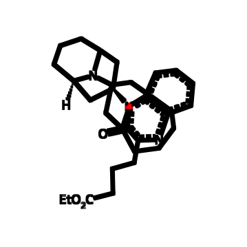 CCOC(=O)CCCc1nc2ccccc2n([C@@H]2CC3CCC[C@H](C2)N3C2CC3CCCCC(C3)C2)c1=O